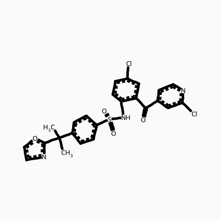 CC(C)(c1ccc(S(=O)(=O)Nc2ccc(Cl)cc2C(=O)c2ccnc(Cl)c2)cc1)c1ncco1